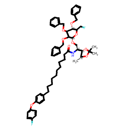 C[C@H]1OC(C)(C)O[C@H]1[C@H](CO[C@H]1OC(CF)[C@@H](OCc2ccccc2)C(OCc2ccccc2)C1OCc1ccccc1)NC(=O)CCCCCCCCCCc1ccc(Oc2ccc(F)cc2)cc1